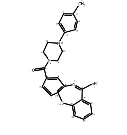 CCCC1=Nc2cc(C(=O)N3CCN(c4ccc(C)cc4)CC3)ccc2Sc2ccccc21